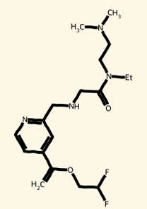 C=C(OCC(F)F)c1ccnc(CNCC(=O)N(CC)CCN(C)C)c1